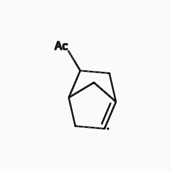 CC(=O)C1CC2=[C]CC1C2